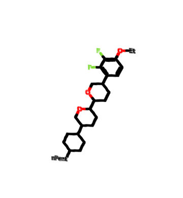 CCCCCC1CCC(C2CCC(C3CCC(c4ccc(OCC)c(F)c4F)CO3)OC2)CC1